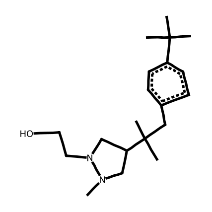 CN1CC(C(C)(C)Cc2ccc(C(C)(C)C)cc2)CN1CCO